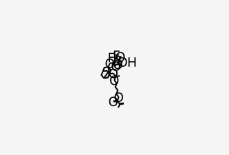 C=C(C)C(=O)OCCCCOC(C)OC12CC3CC(CC(OC(=O)C(F)(F)S(=O)(=O)O)(C3)C1)C2